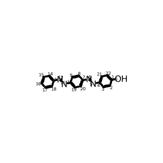 Oc1ccc(N=Nc2ccc(/N=N/c3ccccc3)cc2)cc1